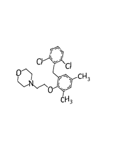 Cc1cc(C)c(OCCN2CCOCC2)c(Cc2c(Cl)cccc2Cl)c1